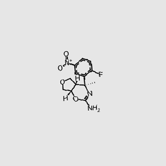 C[C@]1(c2cc([N+](=O)[O-])ccc2F)N=C(N)O[C@@H]2COC[C@@H]21